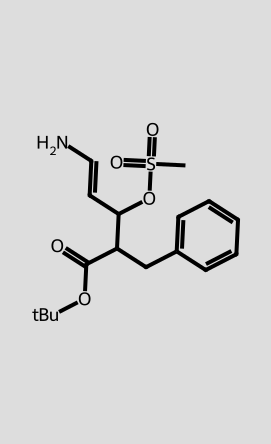 CC(C)(C)OC(=O)C(Cc1ccccc1)C(C=CN)OS(C)(=O)=O